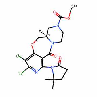 CC(C)(C)OC(=O)N1CCN2C(=O)c3c(N4C(=O)CCC4(C)C)nc(Cl)c(Cl)c3OC[C@H]2C1